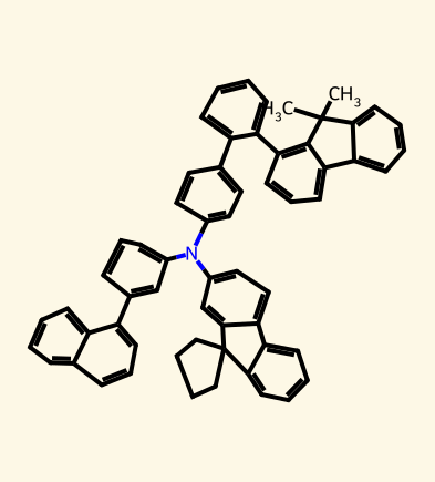 CC1(C)c2ccccc2-c2cccc(-c3ccccc3-c3ccc(N(c4cccc(-c5cccc6ccccc56)c4)c4ccc5c(c4)C4(CCCC4)c4ccccc4-5)cc3)c21